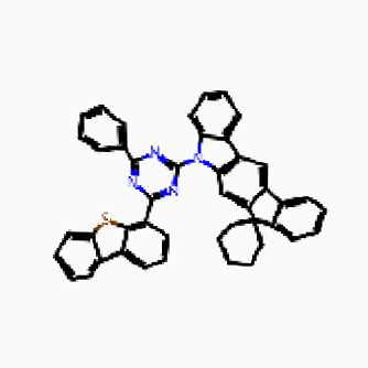 c1ccc(-c2nc(-c3cccc4c3sc3ccccc34)nc(-n3c4ccccc4c4cc5c(cc43)C3(CCCCC3)c3ccccc3-5)n2)cc1